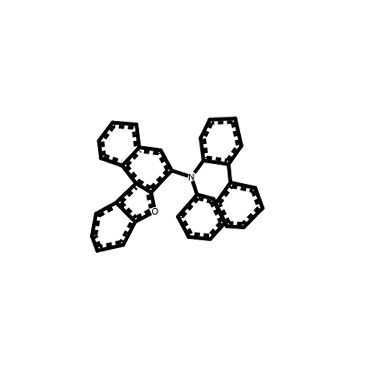 c1ccc(-c2ccccc2N(c2ccccc2)c2cc3ccccc3c3c2oc2ccccc23)cc1